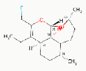 CCC1=C(CF)O[C@@H]2O[C@]3(C)CCC4[C@H](C)CC[C@@H]1[C@]42OO3